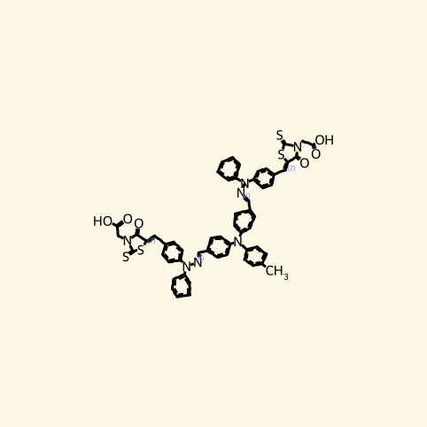 Cc1ccc(N(c2ccc(/C=N/N(c3ccccc3)c3ccc(/C=C4\SC(=S)N(CC(=O)O)C4=O)cc3)cc2)c2ccc(/C=N/N(c3ccccc3)c3ccc(/C=C4\SC(=S)N(CC(=O)O)C4=O)cc3)cc2)cc1